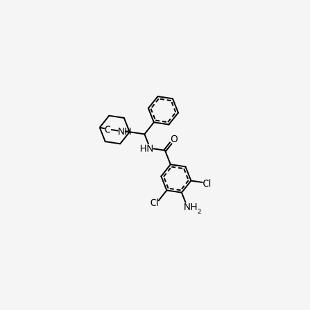 Nc1c(Cl)cc(C(=O)NC(c2ccccc2)C23CCC(CC2)CN3)cc1Cl